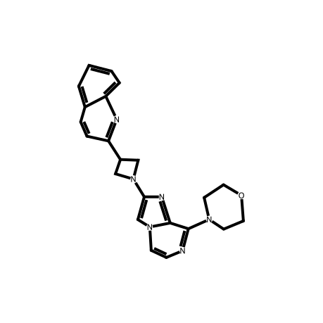 c1ccc2nc(C3CN(c4cn5ccnc(N6CCOCC6)c5n4)C3)ccc2c1